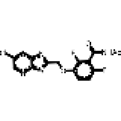 CC(=O)NC(=O)c1c(F)ccc(OCc2nc3cc(Cl)cnc3s2)c1F